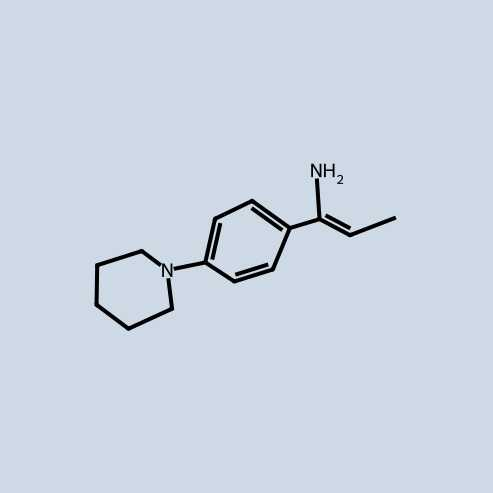 C/C=C(\N)c1ccc(N2CCCCC2)cc1